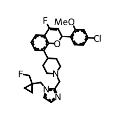 COc1cc(Cl)ccc1[C@@H]1C=C(F)c2cccc(C3CCN(Cc4nccn4CC4(CF)CC4)CC3)c2O1